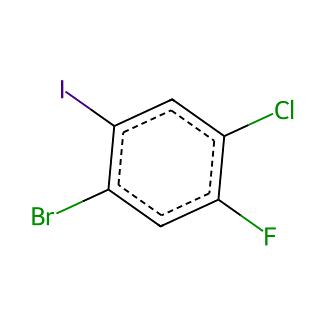 Fc1cc(Br)c(I)cc1Cl